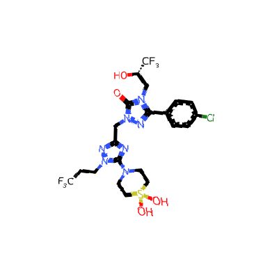 O=c1n(Cc2nc(N3CCS(O)(O)CC3)n(CCC(F)(F)F)n2)nc(-c2ccc(Cl)cc2)n1C[C@H](O)C(F)(F)F